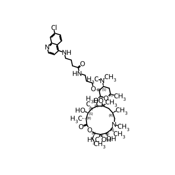 CC[C@H]1OC(=O)[C@H](C)[C@@H](O)[C@H](C)[C@@H](O[C@@H]2O[C@H](C)C[C@H](N(C)C)[C@H]2OCCCNC(=O)CCCNc2ccnc3cc(Cl)ccc23)[C@](C)(O)C[C@@H](C)CN(C)[C@H](C)[C@@H](O)[C@]1(C)O